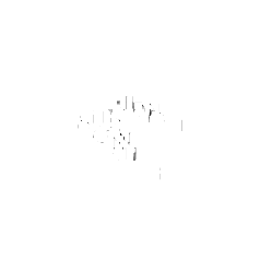 CCC#C/C=N\N(C)c1ccc(OC)cc1C(=O)N(CC)C(C)COc1ccc(Cl)cn1